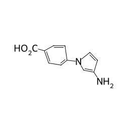 Nc1ccn(-c2ccc(C(=O)O)cc2)c1